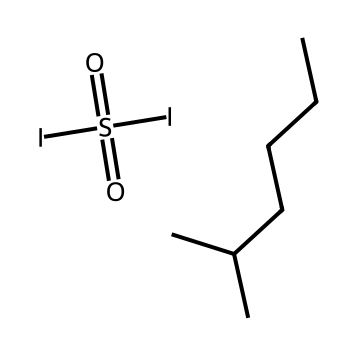 CCCCC(C)C.O=S(=O)(I)I